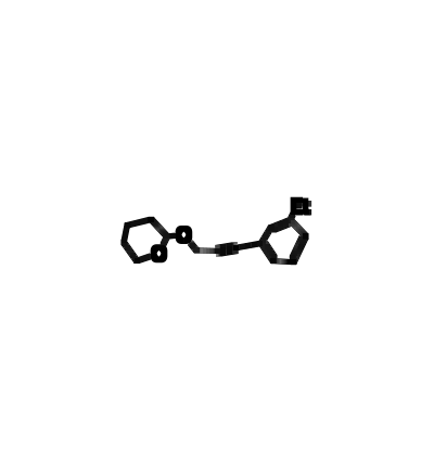 CCc1cccc(C#CCOC2CCCCO2)c1